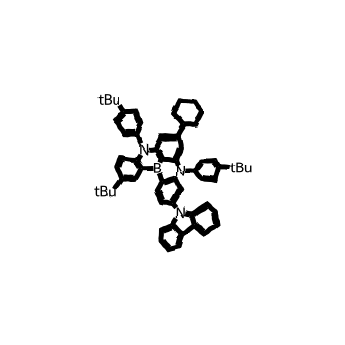 CC(C)(C)c1ccc(N2c3ccc(C(C)(C)C)cc3B3c4ccc(-n5c6ccccc6c6ccccc65)cc4N(c4ccc(C(C)(C)C)cc4)c4cc(C5CCCCC5)cc2c43)cc1